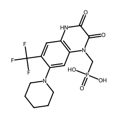 O=c1[nH]c2cc(C(F)(F)F)c(N3CCCCC3)cc2n(CP(=O)(O)O)c1=O